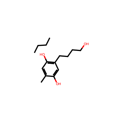 CCCC.Cc1cc(O)c(CCCCO)cc1O